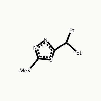 CCC(CC)c1nnc(SC)s1